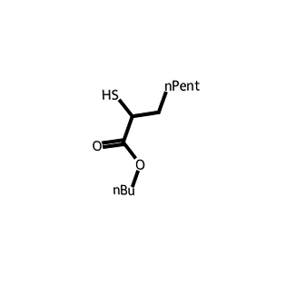 CCCCCCC(S)C(=O)OCCCC